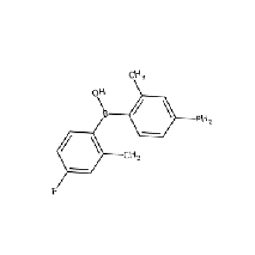 Cc1cc(F)ccc1B(O)c1ccc(P)cc1C